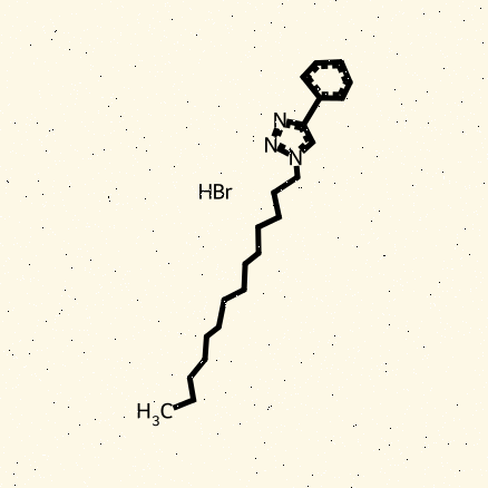 Br.CCCCCCCCCCCCCCn1cc(-c2ccccc2)nn1